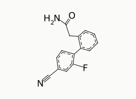 N#Cc1ccc(-c2ccccc2CC(N)=O)c(F)c1